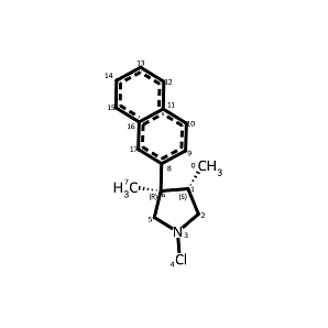 C[C@@H]1CN(Cl)C[C@@]1(C)c1ccc2ccccc2c1